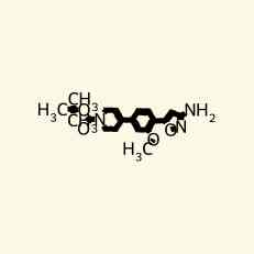 COc1cc(C2=CCN(C(=O)OC(C)(C)C)CC2)ccc1-c1cc(N)no1